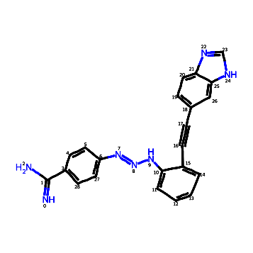 N=C(N)c1ccc(/N=N/Nc2ccccc2C#Cc2ccc3nc[nH]c3c2)cc1